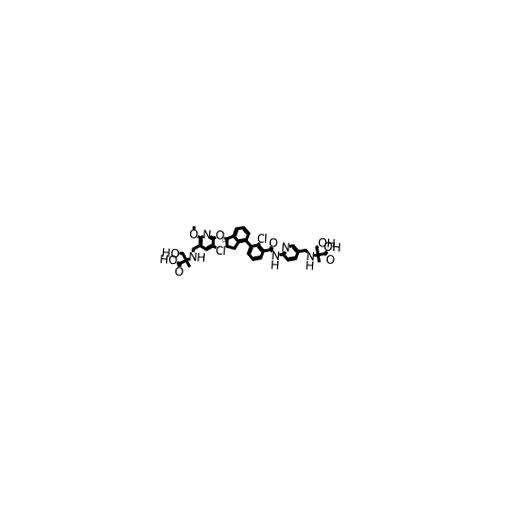 COc1nc(O[C@H]2CCc3c(-c4cccc(C(=O)Nc5ccc(CNC(C)(CO)C(=O)O)cn5)c4Cl)cccc32)c(Cl)cc1CNC(C)(CO)C(=O)O